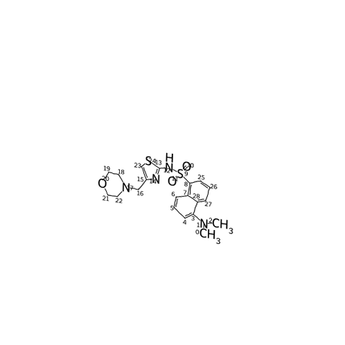 CN(C)c1cccc2c(S(=O)(=O)Nc3nc(CN4CCOCC4)cs3)cccc12